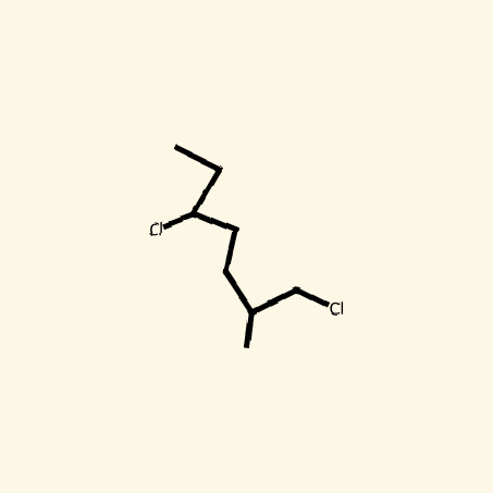 CCC(Cl)CCC(C)CCl